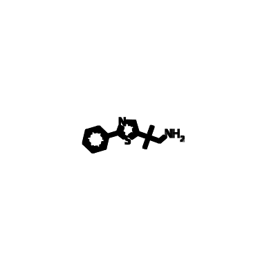 CC(C)(CN)c1cnc(-c2ccccc2)s1